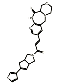 O=C1Nc2ncc(/C=C/C(=O)N3CC4C=C(c5ccsc5)CC4C3)cc2CN2CCOCC12